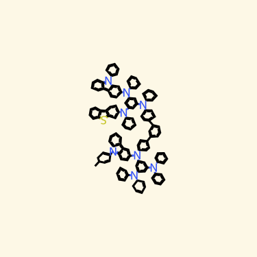 CC1C=CC(n2c3ccccc3c3cc(N(c4ccc(-c5cccc(-c6ccc(N(c7ccccc7)c7cc(N(c8ccccc8)c8ccc9c(c8)sc8ccccc89)cc(N(c8ccccc8)c8ccc9c%10ccccc%10n(-c%10ccccc%10)c9c8)c7)cc6)c5)cc4)c4cc(N(c5ccccc5)c5ccccc5)cc(N(c5ccccc5)C5C=CC=CC5)c4)ccc32)=CC1